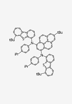 CC(C)c1ccc(N(c2cc(N(c3ccc(C(C)C)cc3)c3cccc4c3sc3c(C(C)(C)C)cccc34)c3ccc4cc(C(C)(C)C)cc5ccc2c3c54)c2cccc3c2sc2c(C(C)(C)C)cccc23)cc1